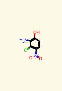 Nc1c(O)ccc([N+](=O)[O-])c1Cl